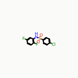 O=S(=O)(Nc1cc(F)ccc1F)c1ccc(Cl)cc1